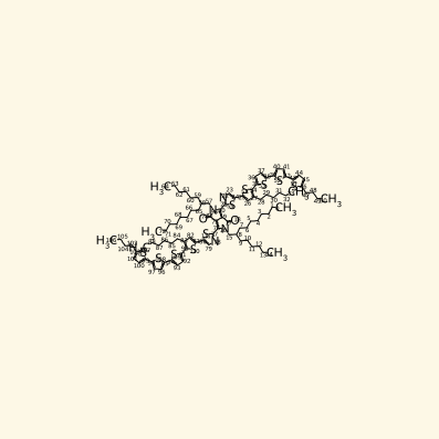 CCCCCCCCC(CCCCCC)CN1C(=O)C2=C(c3ncc(-c4cc(CCCCCC)c(-c5ccc(-c6ccc(-c7ccc(CCCC)s7)s6)s5)s4)s3)N(CC(CCCCCC)CCCCCCCC)C(=O)C2=C1c1ncc(-c2cc(CCCCCC)c(-c3ccc(-c4ccc(-c5ccc(CCCC)s5)s4)s3)s2)s1